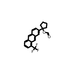 O=COC1(c2ccc3cc4cccc(C(F)(F)F)c4cc3c2)CCCC1